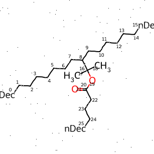 CCCCCCCCCCCCCCCCCC(CCCCCCCCCCCCCCCC)C(C)(C)OC(=O)CCCCCCCCCCCCC